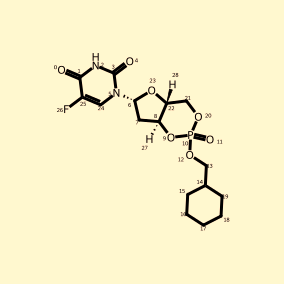 O=c1[nH]c(=O)n([C@H]2C[C@@H]3OP(=O)(OCC4CCCCC4)OC[C@H]3O2)cc1F